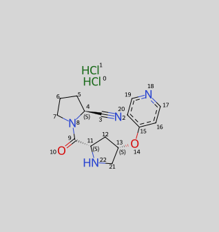 Cl.Cl.N#C[C@@H]1CCCN1C(=O)[C@@H]1C[C@H](Oc2ccncc2)CN1